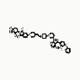 Nc1ncnc2c1c(-c1ccc(Oc3ccccc3)cc1)nn2[C@@H]1CCCN(C2CCN(CCC3CCN(c4ccc5c(c4)C(=O)N(C4CCC(=O)NC4=O)C5=O)CC3)CC2)C1